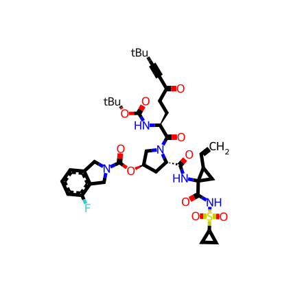 C=CC1CC1(NC(=O)[C@@H]1C[C@@H](OC(=O)N2Cc3cccc(F)c3C2)CN1C(=O)[C@H](CCC(=O)C#CC(C)(C)C)NC(=O)OC(C)(C)C)C(=O)NS(=O)(=O)C1CC1